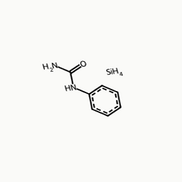 NC(=O)Nc1ccccc1.[SiH4]